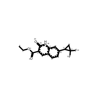 CCOC(=O)c1cc2ccc(C3CC3(F)F)cc2[nH]c1=O